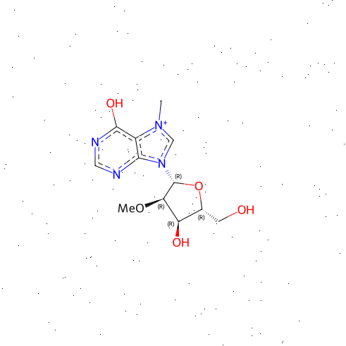 CO[C@@H]1[C@H](O)[C@@H](CO)O[C@H]1n1c[n+](C)c2c(O)ncnc21